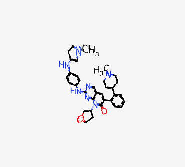 CN1CCC(c2ccccc2-c2cc3cnc(Nc4ccc(NC5CCN(C)C5)cc4)nc3n(C3CCOC3)c2=O)CC1